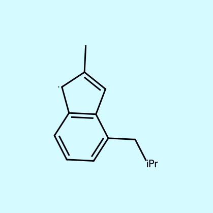 CC1=Cc2c(cccc2CC(C)C)[CH]1